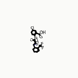 O=C(/C=C/c1ccccc1C(F)(F)F)Nc1ccc(Cl)cc1C(=O)O